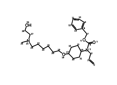 C=CCN(C(=O)OCc1ccccc1)C1CCC(OCCCCCCN(C)CCO)CC1